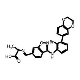 CC(N=Cc1ccc2c(Nc3cccc(-c4ccc5c(c4)OCCO5)c3Br)noc2c1)C(=O)O